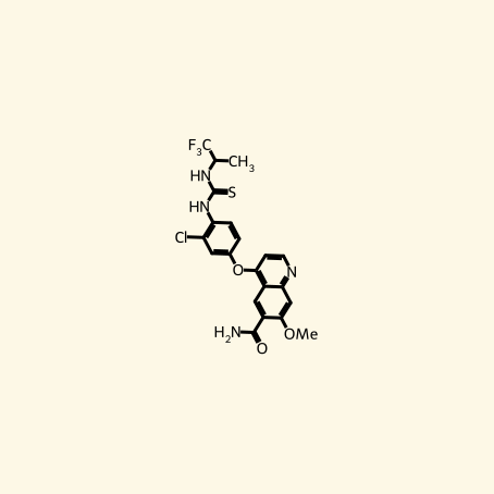 COc1cc2nccc(Oc3ccc(NC(=S)NC(C)C(F)(F)F)c(Cl)c3)c2cc1C(N)=O